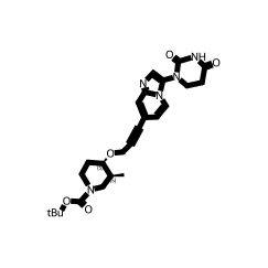 C[C@H]1CN(C(=O)OC(C)(C)C)CC[C@@H]1OCC#Cc1ccn2c(N3CCC(=O)NC3=O)cnc2c1